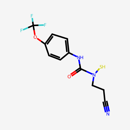 N#CCCN(S)C(=O)Nc1ccc(OC(F)(F)F)cc1